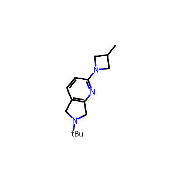 CC1CN(c2ccc3c(n2)CN(C(C)(C)C)C3)C1